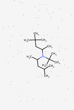 CC(C)CC(C)N(C(C)CC(C)(C)C)C(C)(C)C